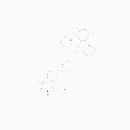 C[C@@H]1c2ccc(-c3ccc4c(=O)[nH]c(=O)n(C5CC5)c4c3OC(F)F)cc2CN1C(c1ccccc1)(c1ccccc1)c1ccccc1